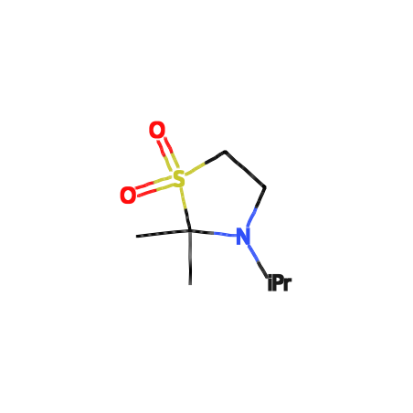 CC(C)N1CCS(=O)(=O)C1(C)C